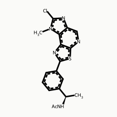 CC(=O)N[C@H](C)c1cccc(-c2nc3c(ncc4nc(Cl)n(C)c43)s2)c1